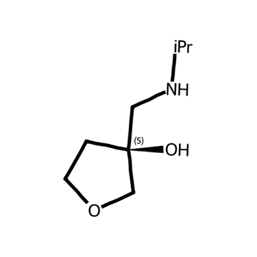 CC(C)NC[C@@]1(O)CCOC1